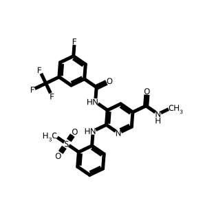 CNC(=O)c1cnc(Nc2ccccc2S(C)(=O)=O)c(NC(=O)c2cc(F)cc(C(F)(F)F)c2)c1